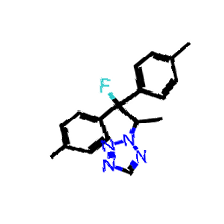 Cc1ccc(C(F)(c2ccc(C)cc2)C(C)n2ncnn2)cc1